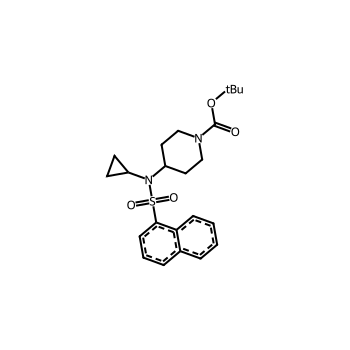 CC(C)(C)OC(=O)N1CCC(N(C2CC2)S(=O)(=O)c2cccc3ccccc23)CC1